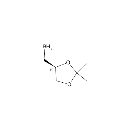 BC[C@@H]1COC(C)(C)O1